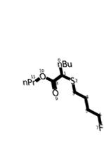 CCCCC(SCCCCF)C(=O)OCCC